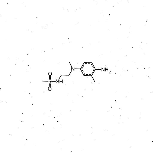 Cc1cc(N(C)CCNS(C)(=O)=O)ccc1N